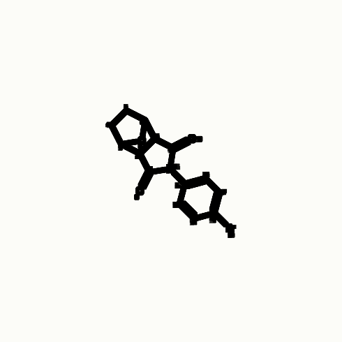 O=C1C2C3CCC(O3)C2C(=O)N1c1ccc(Br)cc1